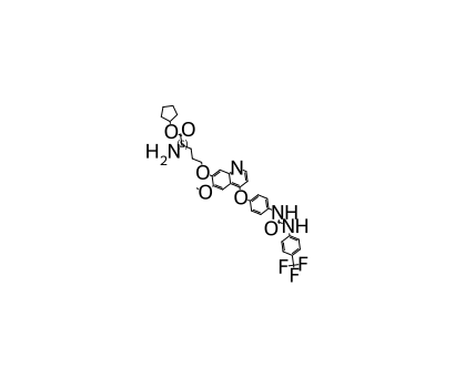 COc1cc2c(Oc3ccc(NC(=O)Nc4ccc(C(F)(F)F)cc4)cc3)ccnc2cc1OCCC[C@H](N)C(=O)OC1CCCC1